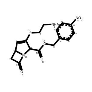 CC(=O)NCCSC1=CC2CC(=O)N2C1C(=O)OCc1ccc([N+](=O)[O-])cc1